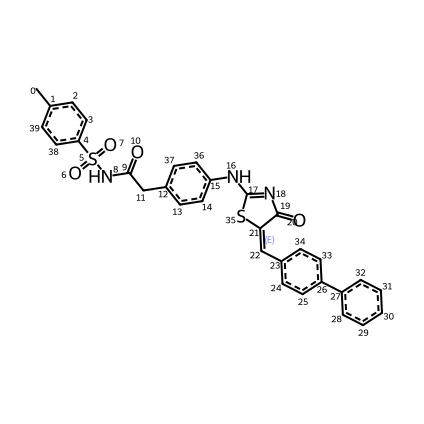 Cc1ccc(S(=O)(=O)NC(=O)Cc2ccc(NC3=NC(=O)/C(=C\c4ccc(-c5ccccc5)cc4)S3)cc2)cc1